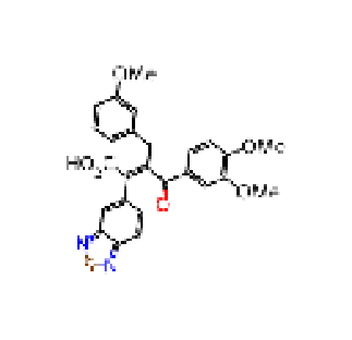 COc1cccc(C/C(C(=O)c2ccc(OC)c(OC)c2)=C(\C(=O)O)c2ccc3nsnc3c2)c1